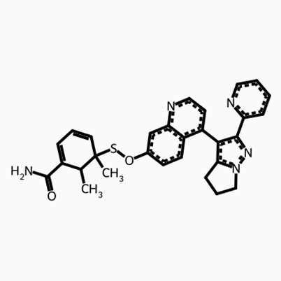 CC1C(C(N)=O)=CC=CC1(C)SOc1ccc2c(-c3c(-c4ccccn4)nn4c3CCC4)ccnc2c1